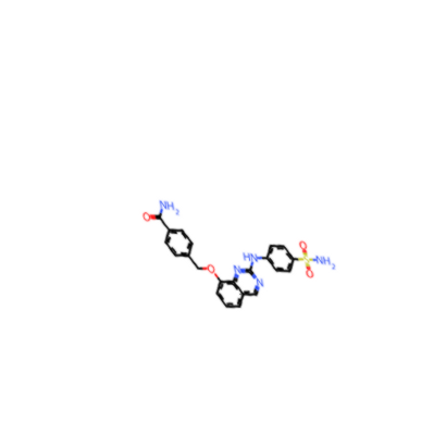 NC(=O)c1ccc(COc2cccc3cnc(Nc4ccc(S(N)(=O)=O)cc4)nc23)cc1